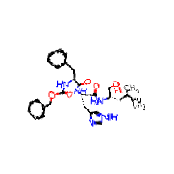 CC(C)C[C@@H](CO)NC(=O)[C@H](Cc1c[nH]cn1)NC(=O)[C@H](Cc1ccccc1)NC(=O)OCc1ccccc1